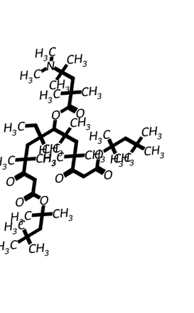 CCC(C)(CC(C)(C)C(=O)CC(=O)OC(C)(C)CC(C)(C)C)C(OC(=O)C(C)(C)CC(C)(C)N(C)C)C(C)(C)CC(C)(C)C(=O)CC(=O)OC(C)(C)CC(C)(C)C